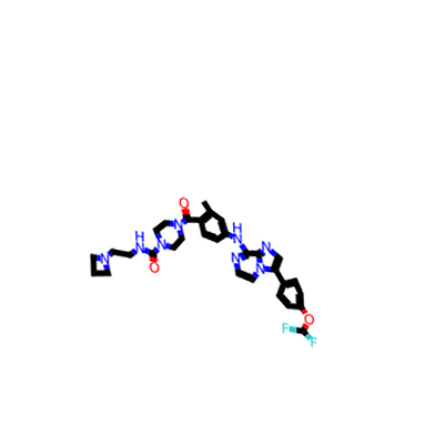 Cc1cc(Nc2nccn3c(-c4ccc(OC(F)F)cc4)cnc23)ccc1C(=O)N1CCN(C(=O)NCCN2CCC2)CC1